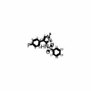 Cn1cc(-c2ccc(F)cc2)c(NS(=O)(=O)c2ccccc2)n1